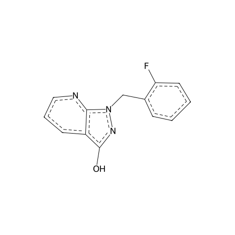 Oc1nn(Cc2ccccc2F)c2ncccc12